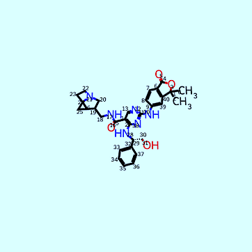 CC1(C)OC(=O)c2ccc(Nc3ncc(C(=O)NCC4CN5CCC56CC46)c(N[C@H](CO)c4ccccc4)n3)cc21